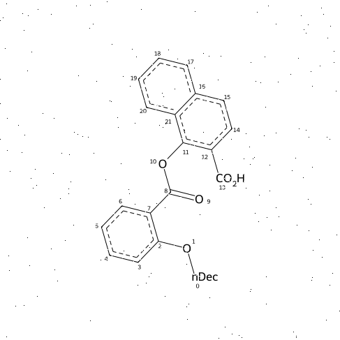 CCCCCCCCCCOc1ccccc1C(=O)Oc1c(C(=O)O)ccc2ccccc12